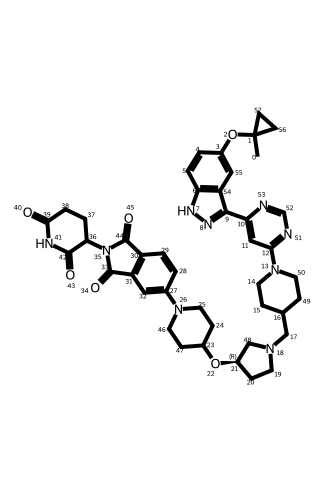 CC1(Oc2ccc3[nH]nc(-c4cc(N5CCC(CN6CC[C@@H](OC7CCN(c8ccc9c(c8)C(=O)N(C8CCC(=O)NC8=O)C9=O)CC7)C6)CC5)ncn4)c3c2)CC1